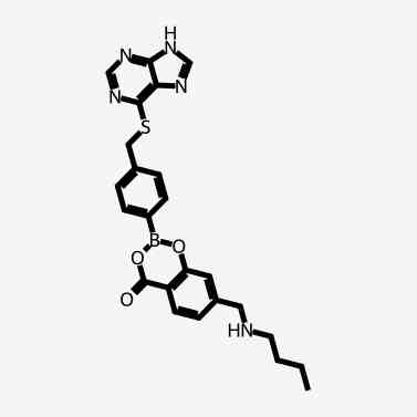 CCCCNCc1ccc2c(c1)OB(c1ccc(CSc3ncnc4[nH]cnc34)cc1)OC2=O